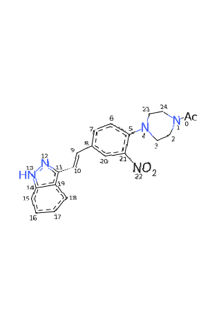 CC(=O)N1CCN(c2ccc(C=Cc3n[nH]c4ccccc34)cc2[N+](=O)[O-])CC1